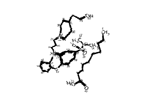 CCCCCCCCCC(=O)O.CN(C)S(=O)(=O)c1ccc2c(c1)N(CCCN1CCC(CCO)CC1)c1ccccc1S2